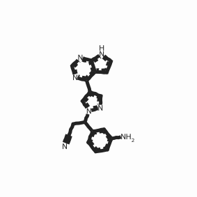 N#CCC(c1cccc(N)c1)n1cc(-c2ncnc3[nH]ccc23)cn1